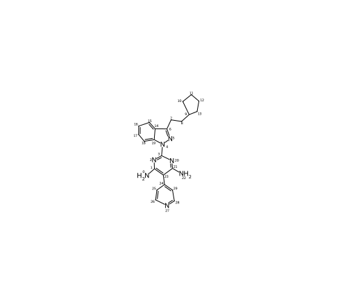 Nc1nc(-n2nc(CCC3CCCC3)c3ccccc32)nc(N)c1-c1ccncc1